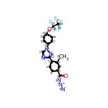 Cc1cc(C(=O)N=[N+]=[N-])ccc1-c1ncn(-c2ccc(OC(F)(F)C(F)(F)F)cc2)n1